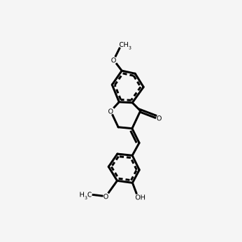 COc1ccc2c(c1)OC/C(=C\c1ccc(OC)c(O)c1)C2=O